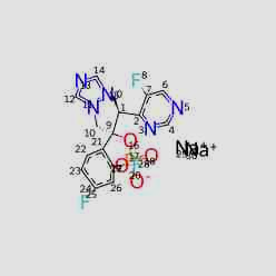 C[C@@H](c1ncncc1F)[C@@](Cn1cncn1)(OP(=O)([O-])[O-])c1ccc(F)cc1F.[Na+].[Na+]